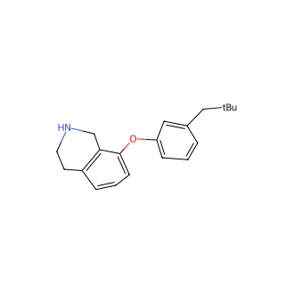 CC(C)(C)Cc1cccc(Oc2cccc3c2CNCC3)c1